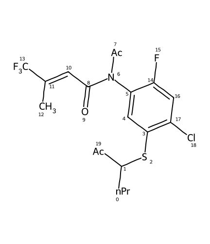 CCCC(Sc1cc(N(C(C)=O)C(=O)/C=C(\C)C(F)(F)F)c(F)cc1Cl)C(C)=O